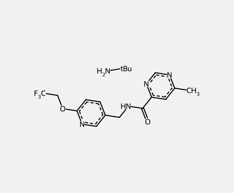 CC(C)(C)N.Cc1cc(C(=O)NCc2ccc(OCC(F)(F)F)nc2)ncn1